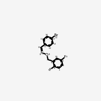 Fc1ccc(F)c(CO/N=[C]\c2ccc(Br)cc2)c1